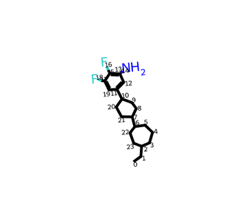 CCC1CCCC(C2CCC(c3cc(N)c(F)c(F)c3)CC2)CC1